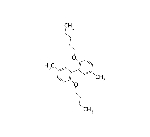 CCCCCOc1ccc(C)cc1-c1cc(C)ccc1OCCCC